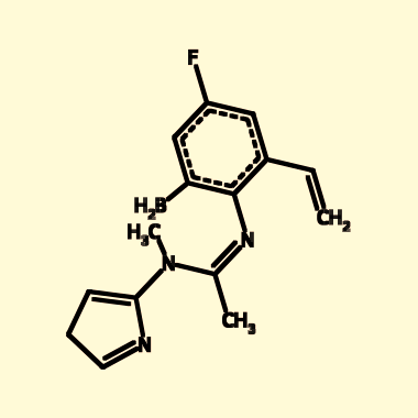 Bc1cc(F)cc(C=C)c1/N=C(/C)N(C)C1=CCC=N1